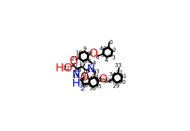 Cc1cccc(COc2ccccc2CN(CC[C@H](N)C(=O)O)Cc2c(OCc3cccc(C)c3)ccc3ccoc23)c1